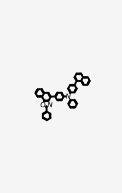 c1ccc(-c2nc3c(-c4ccc(N(c5ccccc5)c5ccc(-c6cccc7ccccc67)cc5)cc4)cc4ccccc4c3o2)cc1